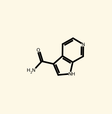 NC(=O)c1c[nH]c2cnccc12